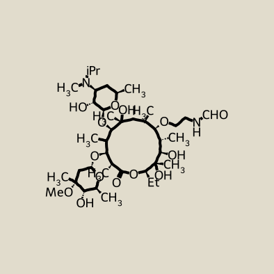 CC[C@H]1OC(=O)[C@H](C)[C@@H](O[C@H]2C[C@@](C)(OC)[C@@H](O)[C@H](C)O2)C(C)[C@@H](O[C@@H]2O[C@H](C)C[C@H](N(C)C(C)C)[C@H]2O)[C@](C)(O)C[C@@H](C)[C@H](OCCNC=O)[C@H](C)[C@@H](O)[C@]1(C)O